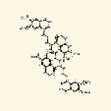 COc1cc2c(cc1OC)C(CCCC(CCCCC(CCCC1=NCCc3cc(OC)c(OC)cc31)C1=NCCc3cc(OC)c(OC)cc31)C1=NCCc3cc(OC)c(OC)cc31)=NCC2